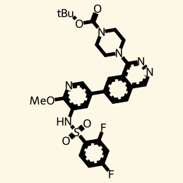 COc1ncc(-c2ccc3cnnc(N4CCN(C(=O)OC(C)(C)C)CC4)c3c2)cc1NS(=O)(=O)c1ccc(F)cc1F